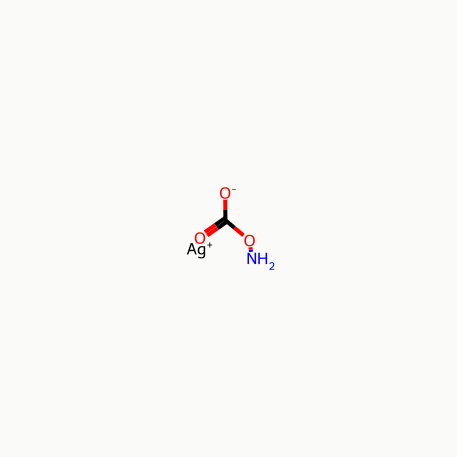 NOC(=O)[O-].[Ag+]